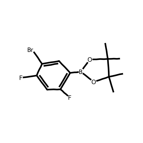 CC1(C)OB(c2cc(Br)c(F)cc2F)OC1(C)C